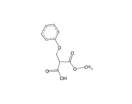 COC(=O)C(COc1ccccc1)C(=O)O